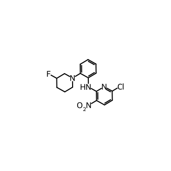 O=[N+]([O-])c1ccc(Cl)nc1Nc1ccccc1N1CCCC(F)C1